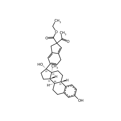 CCOC(=O)C1(C(C)=O)C=C2CC=C([C@]3(O)CC[C@H]4[C@@H]5CCc6cc(O)ccc6[C@H]5CC[C@@]43C)C=C2C1